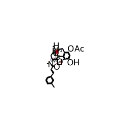 CC(=O)Oc1cc(O)c2c3c1C[C@@H]1[C@@H]4CC[C@H](N(C)C(=O)C=Cc5cccc(C)c5)[C@H](O2)[C@]34CCN1C